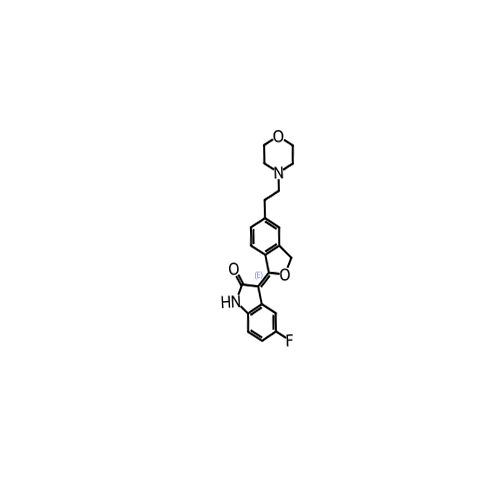 O=C1Nc2ccc(F)cc2/C1=C1\OCc2cc(CCN3CCOCC3)ccc21